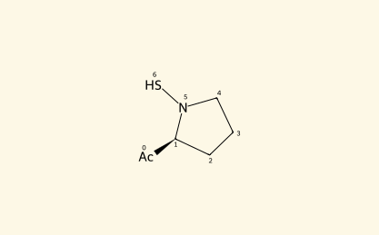 CC(=O)[C@@H]1CCCN1S